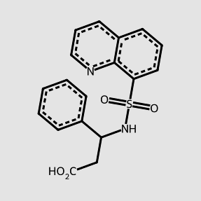 O=C(O)CC(NS(=O)(=O)c1cccc2cccnc12)c1ccccc1